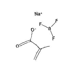 C=C(C)C(=O)[O-].FB(F)F.[Na+]